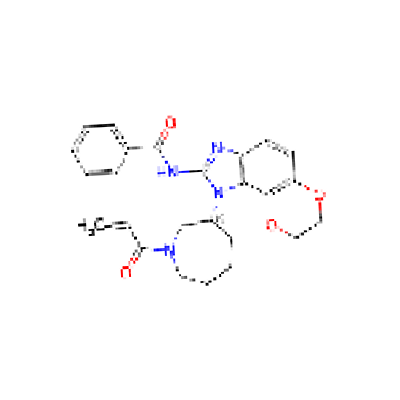 C=CC(=O)N1CCCC[C@@H](n2c(NC(=O)c3ccccc3)nc3ccc4c(c32)OCCO4)C1